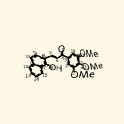 COc1cc(C(=O)C=Cc2ccc3ccccc3c2O)cc(OC)c1OC